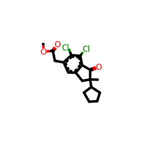 COC(=O)Cc1cc2c(c(Cl)c1Cl)C(=O)C(C)(C1CCCC1)C2